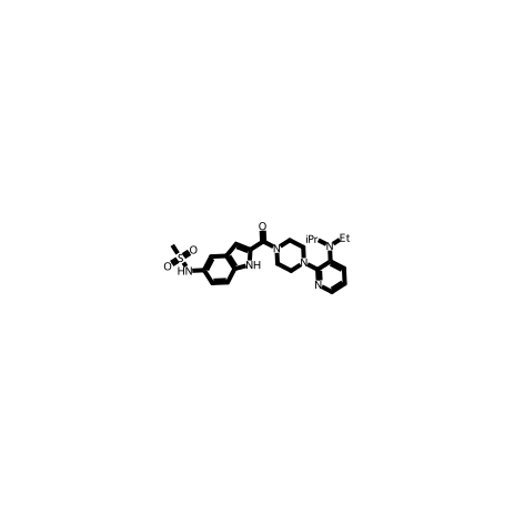 CCN(c1cccnc1N1CCN(C(=O)c2cc3cc(NS(C)(=O)=O)ccc3[nH]2)CC1)C(C)C